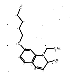 CC(=O)OCN1c2cc(OCCCCCl)ccc2C=CC1O